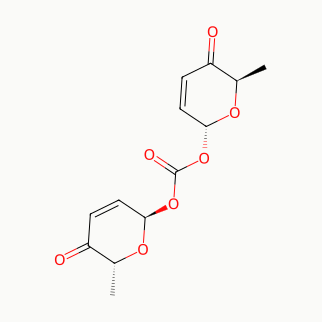 C[C@H]1O[C@H](OC(=O)O[C@@H]2C=CC(=O)[C@@H](C)O2)C=CC1=O